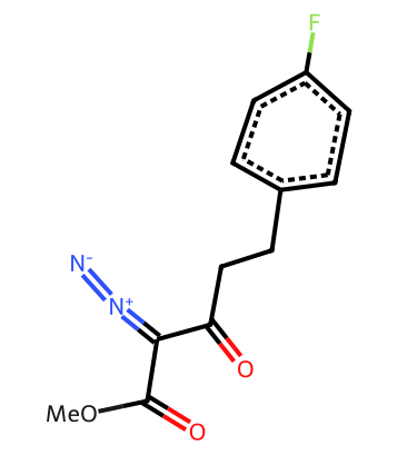 COC(=O)C(=[N+]=[N-])C(=O)CCc1ccc(F)cc1